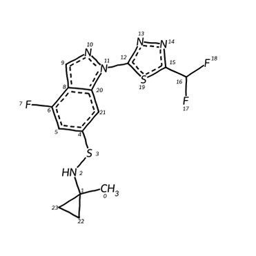 CC1(NSc2cc(F)c3cnn(-c4nnc(C(F)F)s4)c3c2)CC1